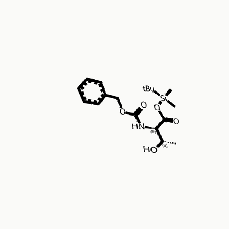 C[C@H](O)[C@@H](NC(=O)OCc1ccccc1)C(=O)O[Si](C)(C)C(C)(C)C